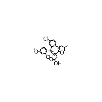 COc1ccc([C@H]2S[C@H](CC(=O)O)C(=O)N(CC(C)C)c3ccc(Cl)cc32)c(Cl)c1